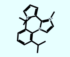 CC(C)c1cccc(C(C)C)c1-n1cc[n+](C)c1-c1cccn1C